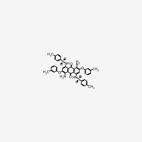 Cc1ccc(S(=O)(=O)Nc2cc(Oc3cccc(C)c3)c(N)c3c2C(=O)c2c(N)c(Oc4cccc(C)c4)cc(NS(=O)(=O)c4ccc(C)cc4)c2C3=O)cc1